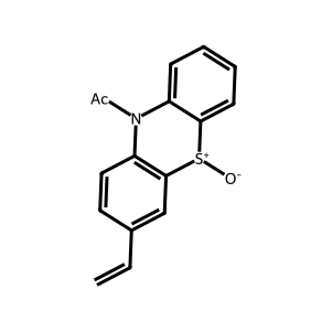 C=Cc1ccc2c(c1)[S+]([O-])c1ccccc1N2C(C)=O